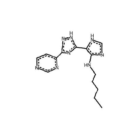 CCCCCNc1nc[nH]c1-c1nc(-c2ccncn2)n[nH]1